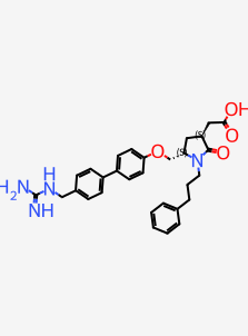 N=C(N)NCc1ccc(-c2ccc(OC[C@@H]3C[C@@H](CC(=O)O)C(=O)N3CCCc3ccccc3)cc2)cc1